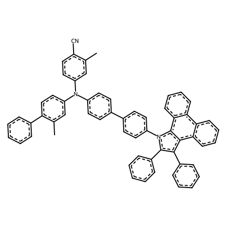 Cc1cc(N(c2ccc(-c3ccc(-n4c(-c5ccccc5)c(-c5ccccc5)c5c6ccccc6c6ccccc6c54)cc3)cc2)c2ccc(-c3ccccc3)c(C)c2)ccc1C#N